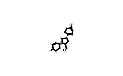 O=CC1C[C@H](C2=CC=C(Br)CC2)CC1[C@@H]1C=CC(F)CC1